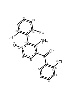 Nc1c(C(=O)c2ccccc2Cl)cc[n+]([O-])c1-c1c(F)cccc1F